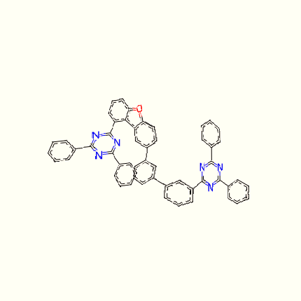 c1ccc(-c2nc(-c3ccccc3)nc(-c3cccc(-c4cccc(-c5ccc6oc7cccc(-c8nc(-c9ccccc9)nc(-c9ccccc9)n8)c7c6c5)c4)c3)n2)cc1